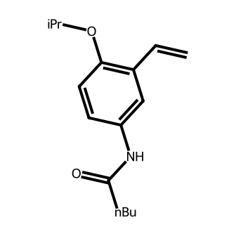 C=Cc1cc(NC(=O)CCCC)ccc1OC(C)C